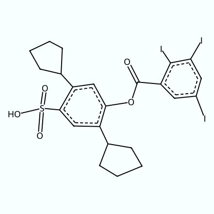 O=C(Oc1cc(C2CCCC2)c(S(=O)(=O)O)cc1C1CCCC1)c1cc(I)cc(I)c1I